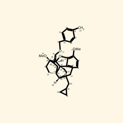 COc1ccc2c3c1O[C@H]1[C@@]4(OC)CC[C@@]5(C[C@@H]4COCc4ccc(C)cc4)[C@@H](C2)N(CC2CC2)CC[C@]315